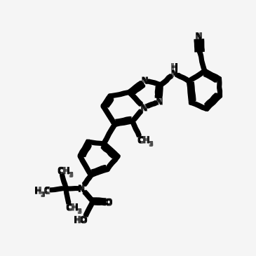 Cc1c(-c2ccc(N(C(=O)O)C(C)(C)C)cc2)ccc2nc(Nc3ccccc3C#N)nn12